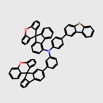 c1cc(-c2ccc3c(c2)C2(c4ccccc4Oc4ccccc42)c2ccccc2-3)cc(N(c2ccc(-c3ccc4sc5ccccc5c4c3)cc2)c2cccc3c2-c2ccccc2C32c3ccccc3Oc3ccccc32)c1